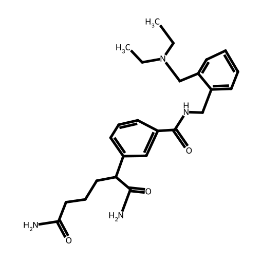 CCN(CC)Cc1ccccc1CNC(=O)c1cccc(C(CCCC(N)=O)C(N)=O)c1